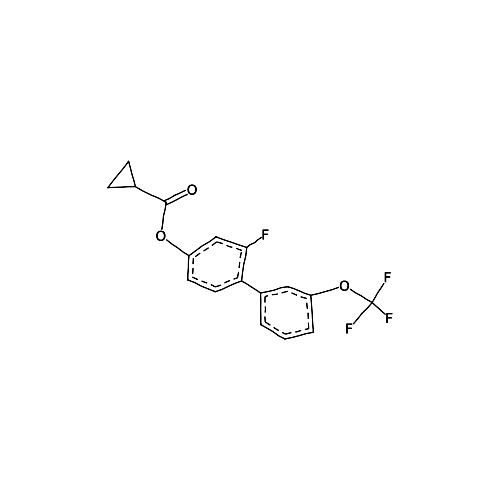 O=C(Oc1ccc(-c2cccc(OC(F)(F)F)c2)c(F)c1)C1CC1